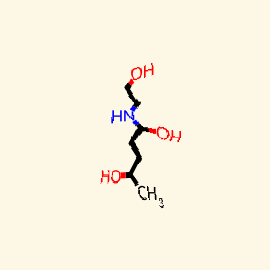 CC(O)CCC(O)NCCO